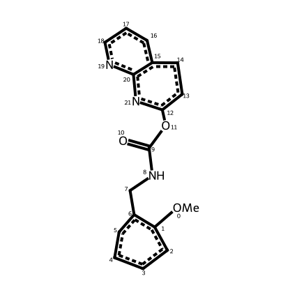 COc1ccccc1CNC(=O)Oc1ccc2cccnc2n1